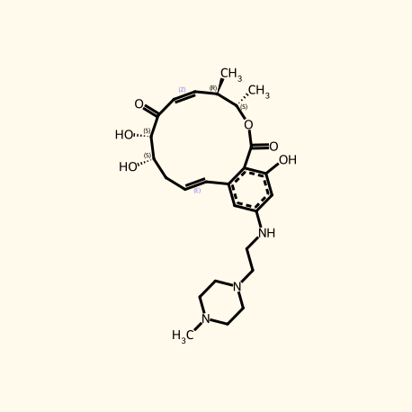 C[C@@H]1/C=C\C(=O)[C@@H](O)[C@@H](O)C/C=C/c2cc(NCCN3CCN(C)CC3)cc(O)c2C(=O)O[C@H]1C